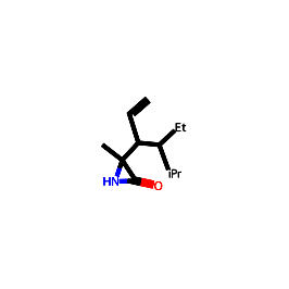 C=CC(C(CC)C(C)C)C1(C)NC1=O